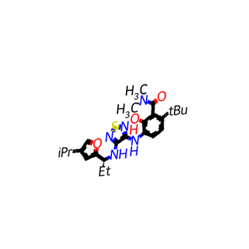 CC[C@@H](Nc1nsnc1Nc1ccc(C(C)(C)C)c(C(=O)N(C)C)c1O)c1cc(C(C)C)co1